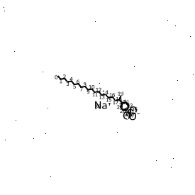 CCCCCCCCCCCCCCCCCCC(C)c1ccc(S(=O)(=O)[O-])cc1.[Na+]